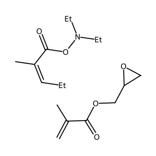 C=C(C)C(=O)OCC1CO1.CCC=C(C)C(=O)ON(CC)CC